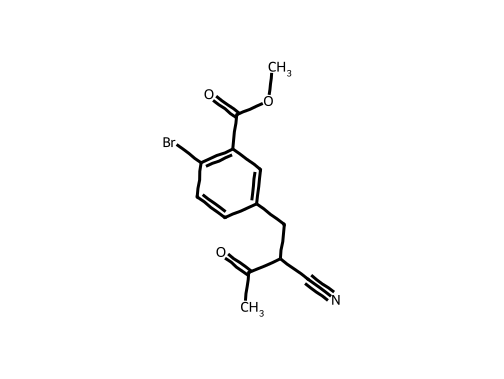 COC(=O)c1cc(CC(C#N)C(C)=O)ccc1Br